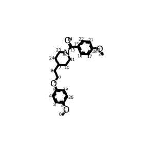 COc1ccc(OCCC2CCN(C(=O)c3ccc(OC)cc3)CC2)cc1